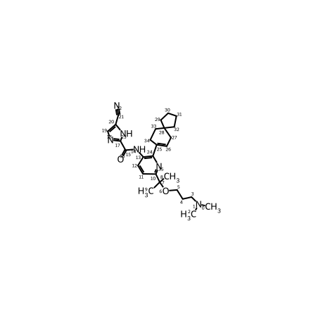 CN(C)CCCOC(C)(C)c1ccc(NC(=O)c2ncc(C#N)[nH]2)c(C2=CCC3(CCCC3)CC2)n1